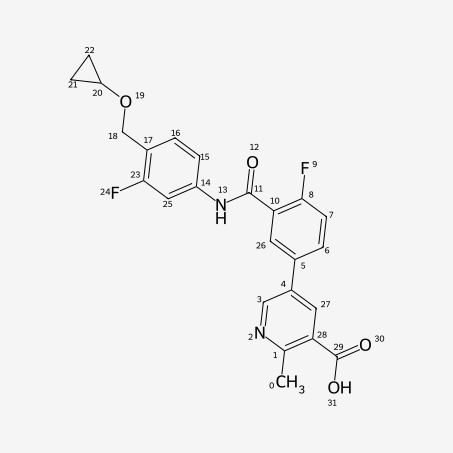 Cc1ncc(-c2ccc(F)c(C(=O)Nc3ccc(COC4CC4)c(F)c3)c2)cc1C(=O)O